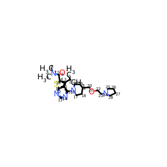 CC(C)c1c(C(=O)N(C)C)sc2ncnc(N3CCC(COCCN4CCCC4)CC3)c12